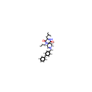 CCCN1C(=O)C(CC(C)C)NC(=O)C12CCN(Cc1ccc(-c3ccccc3)cc1)CC2